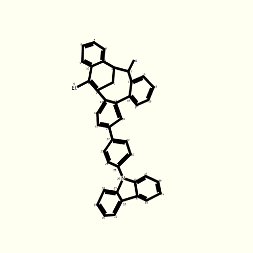 CCC1=C2CC(c3ccccc31)C(C)c1ccccc1-c1cc(-c3ccc(-n4c5ccccc5c5ccccc54)cc3)ccc12